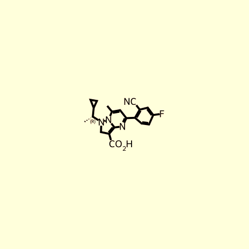 CC1=CC(c2ccc(F)cc2C#N)=NC2=C(C(=O)O)CN([C@H](C)C3CC3)N12